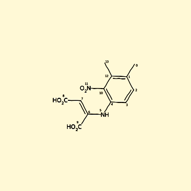 Cc1ccc(NC(=CC(=O)O)C(=O)O)c([N+](=O)[O-])c1C